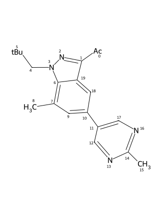 CC(=O)c1nn(CC(C)(C)C)c2c(C)cc(-c3cnc(C)nc3)cc12